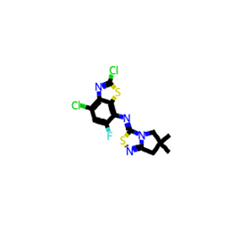 CC1(C)Cc2nsc(=Nc3c(F)cc(Cl)c4nc(Cl)sc34)n2C1